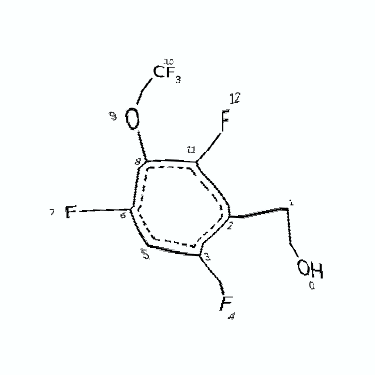 OCc1c(F)cc(F)c(OC(F)(F)F)c1F